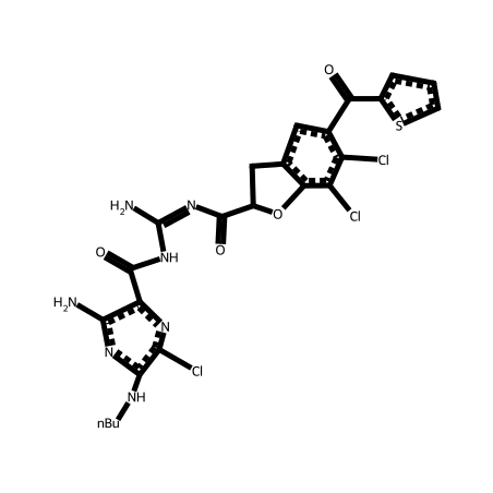 CCCCNc1nc(N)c(C(=O)NC(N)=NC(=O)C2Cc3cc(C(=O)c4cccs4)c(Cl)c(Cl)c3O2)nc1Cl